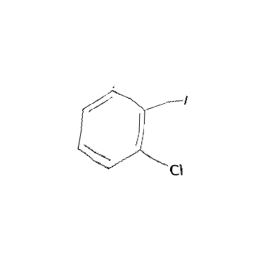 Clc1ccc[c]c1I